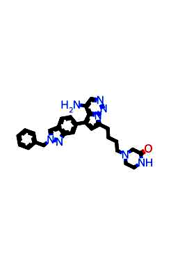 Nc1cnnn2c(CCCCN3CCNC(=O)C3)cc(-c3ccc4cn(Cc5ccccc5)nc4c3)c12